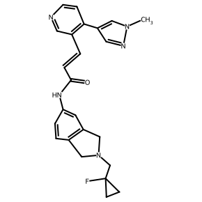 Cn1cc(-c2ccncc2/C=C/C(=O)Nc2ccc3c(c2)CN(CC2(F)CC2)C3)cn1